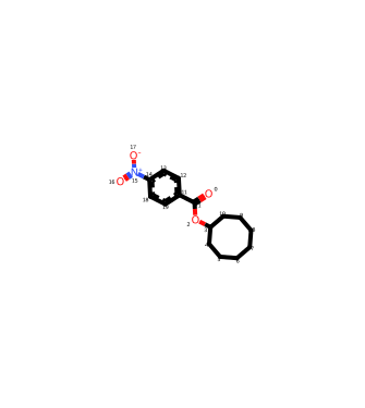 O=C(OC1CCCCCCC1)c1ccc([N+](=O)[O-])cc1